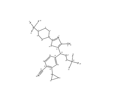 Cc1nc(C2CCC(C(F)(F)F)CC2)sc1C(OCC(F)(F)F)c1ccc(C#N)c(C2CC2)c1